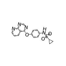 O=S(=O)(Nc1ccc(Oc2ncnc3ncccc23)cc1)C1CC1